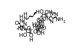 C#CC=CCNc1nc2c(c(=O)[nH]1)[n+](C)cn2[C@@H]1O[C@H](COP(=O)(O)OP(=O)(O)OP(=O)(O)OC[C@H]2O[C@@H](n3cnc4c(N)ncnc43)[C@@H](O)C2O)[C@H](O)C1O